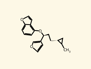 CC1C[C@H]1CC[C@H](Oc1cccc2occc12)c1ccoc1